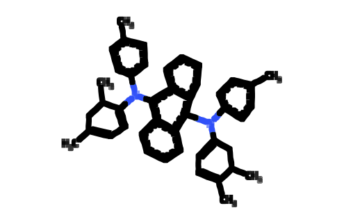 CC1=CC=C(N(c2ccc(C)cc2)c2c3ccccc3c(N(C3=CC=C(C)C(C)C3)c3ccc(C)cc3)c3ccccc23)C(C)C1